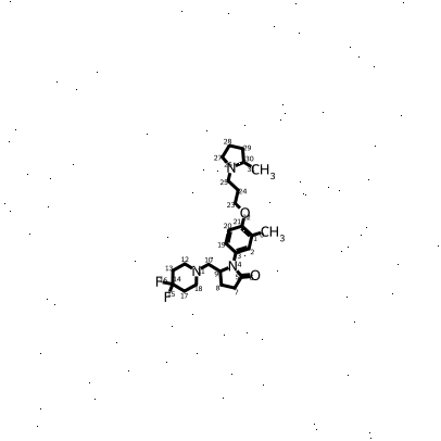 Cc1cc(N2C(=O)CCC2CN2CCC(F)(F)CC2)ccc1OCCCN1CCCC1C